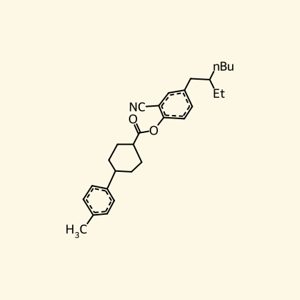 CCCCC(CC)Cc1ccc(OC(=O)C2CCC(c3ccc(C)cc3)CC2)c(C#N)c1